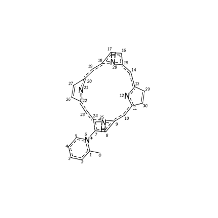 Cc1cccc[n+]1-c1cc2cc3nc(cc4ccc(cc5nc(cc1[nH]2)C=C5)[nH]4)C=C3